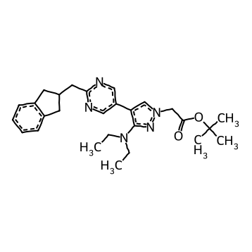 CCN(CC)c1nn(CC(=O)OC(C)(C)C)cc1-c1cnc(CC2Cc3ccccc3C2)nc1